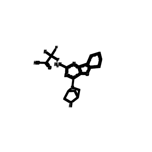 Nc1nc(N2CC3CC2CN3)c2oc3ccccc3c2n1.O=C(O)C(F)(F)F